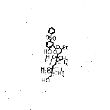 CCC1CC(C(C)(C)C(C)(C)CCC(C)(C)C(C)(C)CCO)OC(c2cc(S(=O)(=O)c3ccccc3)ccc2O)O1